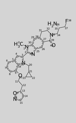 Cn1c(-c2cc3cccc(OCCc4ccno4)c3n2CC2CC2)nc2cc3c(cc21)CCN(C[C@H](N)CF)C3=O